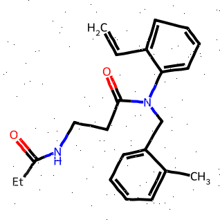 C=Cc1ccccc1N(Cc1ccccc1C)C(=O)CCNC(=O)CC